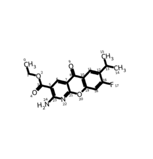 CCOC(=O)c1cc2c(=O)c3cc(C(C)C)c(F)cc3oc2nc1N